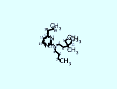 CCCCN(CCC(C)(CC)CC)c1nccc(CCC)n1